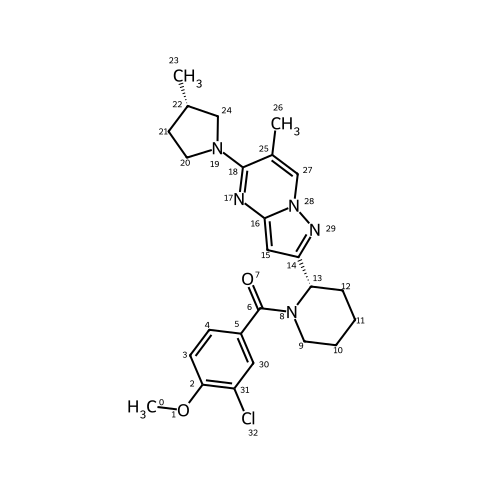 COc1ccc(C(=O)N2CCCC[C@H]2c2cc3nc(N4CC[C@H](C)C4)c(C)cn3n2)cc1Cl